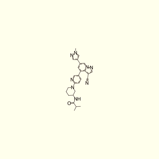 CC(C)C(=O)NC1CCCN(c2ccc(-c3cc(-c4cnn(C)c4)cn4ncc(C#N)c34)cn2)C1